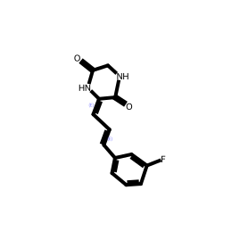 O=C1CNC(=O)/C(=C\C=C\c2cccc(F)c2)N1